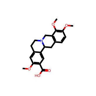 COc1cc2c(cc1C(=O)O)C1Cc3ccc(OC)c(OC)c3CN1CC2